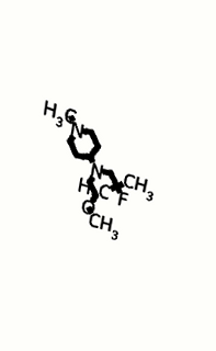 COCCN(CC(C)(C)F)C1CCN(C)CC1